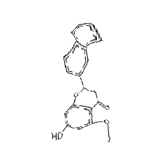 COc1cc(O)cc2c1C(=O)CC(c1ccc3ccccc3c1)O2